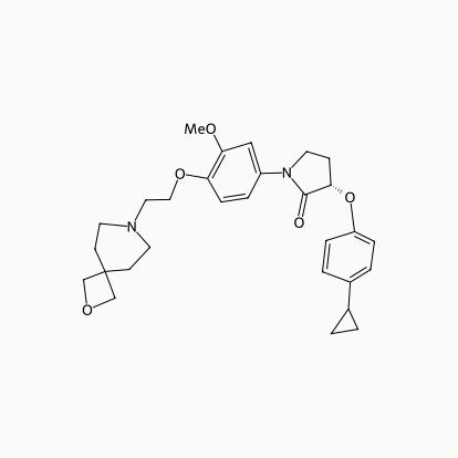 COc1cc(N2CC[C@H](Oc3ccc(C4CC4)cc3)C2=O)ccc1OCCN1CCC2(CC1)COC2